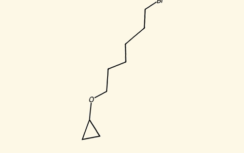 BrCCCCCCOC1CC1